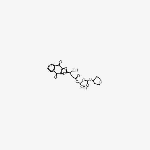 CC(OC(=O)CC(O)c1cc2c(o1)C(=O)c1ccccc1C2=O)OC(=O)OC1CCOCC1